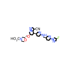 N#Cc1cnn2cc(OC[C@H]3CN(C(=O)O)CCO3)cc(-c3ccc(NCc4ccc(-n5cc(F)cn5)nc4)nc3)c12